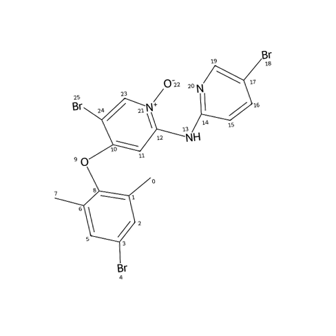 Cc1cc(Br)cc(C)c1Oc1cc(Nc2ccc(Br)cn2)[n+]([O-])cc1Br